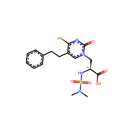 CN(C)S(=O)(=O)N[C@@H](Cn1cc(CCc2ccccc2)c(S)nc1=O)C(=O)O